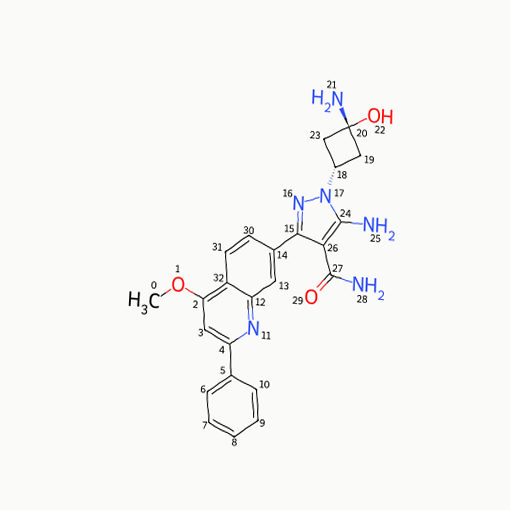 COc1cc(-c2ccccc2)nc2cc(-c3nn([C@H]4C[C@@](N)(O)C4)c(N)c3C(N)=O)ccc12